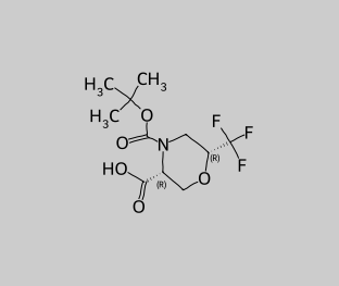 CC(C)(C)OC(=O)N1C[C@H](C(F)(F)F)OC[C@@H]1C(=O)O